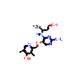 CCCCC(CCO)Nc1nc(N)ncc1OCc1ncc(C)c(O)c1C